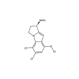 CCOc1cc(Cl)c(Cl)c2c1cc1n2CC[C@H]1NC(C)=O